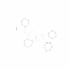 CC(C)(C)[Si](O[C@@H]1CC[C@@H](Nc2nc(Cl)ncc2[N+](=O)[O-])c2ccccc21)(c1ccccc1)c1ccccc1